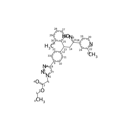 CCOC(=O)Cn1cc(-c2ccc(C(C/C(=N\O)c3ccnc(C)c3)c3ccccc3C)cc2)nn1